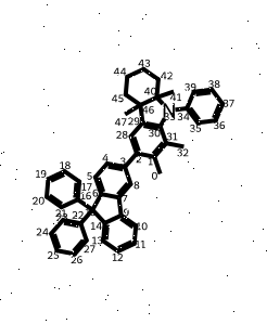 Cc1c(-c2ccc3c(c2)-c2ccccc2C3(c2ccccc2)c2ccccc2)cc2c(c1C)N(c1ccccc1)C1(C)CCCCC21C